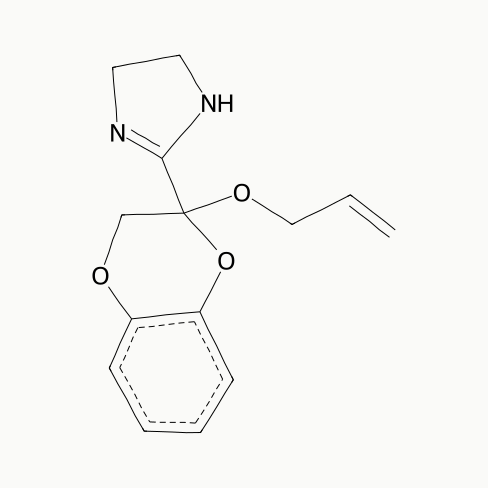 C=CCOC1(C2=NCCN2)COc2ccccc2O1